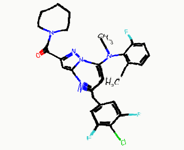 Cc1cccc(F)c1N(C)c1cc(-c2cc(F)c(Cl)c(F)c2)nc2cc(C(=O)N3CCCCC3)nn12